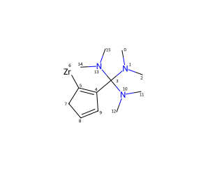 CN(C)C(C1=[C]([Zr])CC=C1)(N(C)C)N(C)C